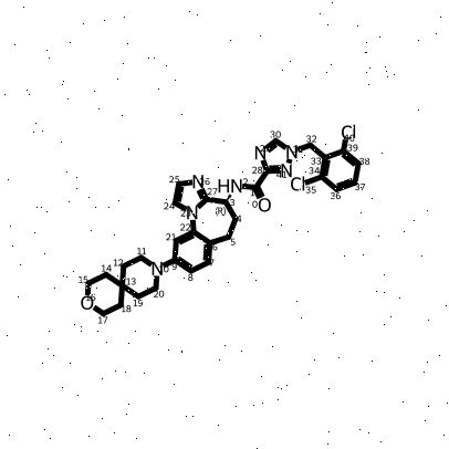 O=C(N[C@@H]1CCc2ccc(N3CCC4(CCOCC4)CC3)cc2-n2ccnc21)c1ncn(Cc2c(Cl)cccc2Cl)n1